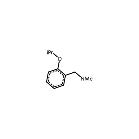 CNCc1ccccc1OC(C)C